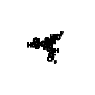 CCc1c(N2CCN(C(=O)c3ncccc3O)CC2)c(=O)n2nc(C3=CC[C@@H](F)CN3)nc2n1CC(=O)Nc1ccc(C(F)(F)F)cc1C